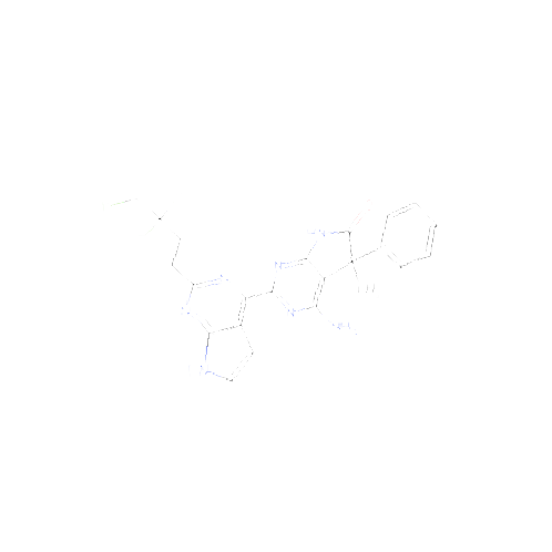 CC1(c2ccccc2)C(=O)Nc2nc(-c3nc(CCC(F)(F)CF)nc4[nH]ccc34)nc(N)c21